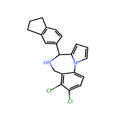 Clc1ccc2c(c1Cl)CNC(c1ccc3c(c1)CCC3)c1cccn1-2